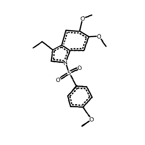 CCc1cn(S(=O)(=O)c2ccc(OC)cc2)c2cc(OC)c(OC)cc12